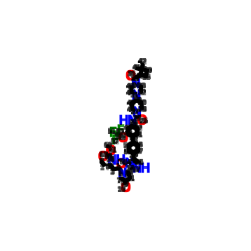 CC[C@@H](CC(=O)N1C[C@@H](OC)C[C@H]1c1nc(-c2ccc(-c3ccc(NC(=O)N4CCC(N5CCN(C(=O)C6CCC6(C)C)CC5)CC4)cc3OC(F)(F)F)cc2)c[nH]1)NC(=O)OC